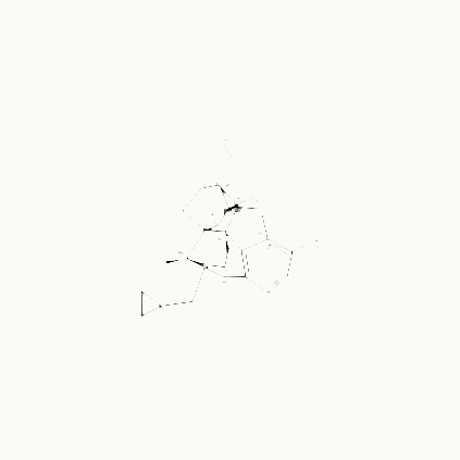 CO[C@@]12CCC3(C[C@@H]1C)[C@H]1Cc4ccc(O)c5c4[C@@]3(CCN1CC1CC1)[C@H]2O5